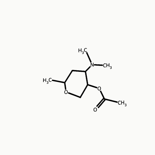 CC(=O)OC1COC(C)CC1N(C)C